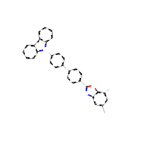 CCCc1cc(C)cc2nc(-c3ccc(-c4ccc(-n5c6ccccc6c6ccccc65)cc4)cc3)oc12